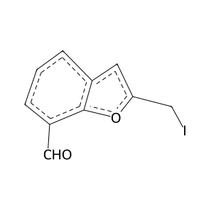 O=Cc1cccc2cc(CI)oc12